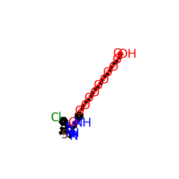 Cc1sc2c(c1C)C(c1ccc(Cl)cc1)=NC(CC(=O)Nc1ccc(OCCOCCOCCOCCOCCOCCOCCOCCOCC(=O)O)cc1)c1nnc(C)n1-2